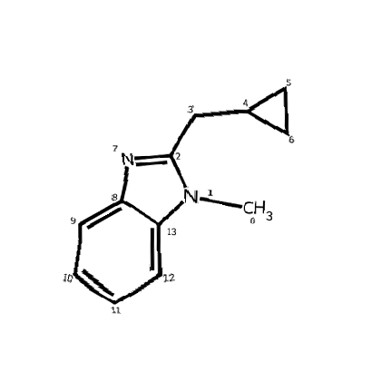 Cn1c(CC2CC2)nc2ccccc21